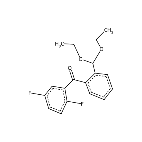 CCOC(OCC)c1ccccc1C(=O)c1cc(F)ccc1F